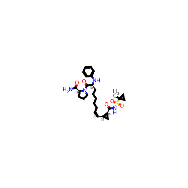 CC1(S(=O)(=O)NC(=O)[C@H]2C[C@H]2/C=C\CCCCC[C@H](Nc2ccccc2)C(=O)N2CCC[C@H]2C(N)=O)CC1